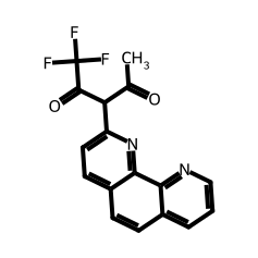 CC(=O)C(C(=O)C(F)(F)F)c1ccc2ccc3cccnc3c2n1